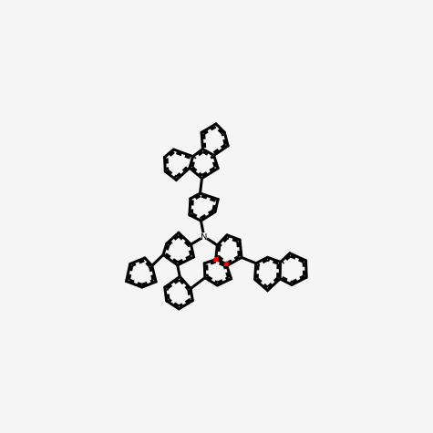 c1ccc(-c2ccccc2-c2cc(N(c3ccc(-c4ccc5ccccc5c4)cc3)c3ccc(-c4cc5ccccc5c5ccccc45)cc3)ccc2-c2ccccc2)cc1